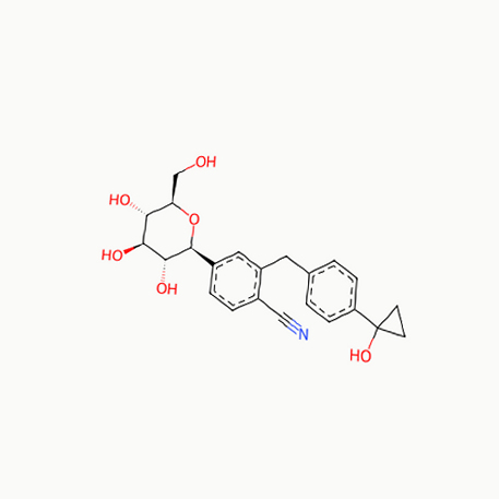 N#Cc1ccc([C@@H]2O[C@H](CO)[C@@H](O)[C@H](O)[C@H]2O)cc1Cc1ccc(C2(O)CC2)cc1